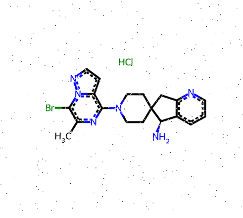 Cc1nc(N2CCC3(CC2)Cc2ncccc2[C@H]3N)c2ccnn2c1Br.Cl